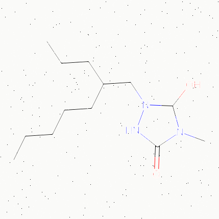 CCCCCC(CCC)CN1NC(=O)N(C)C1O